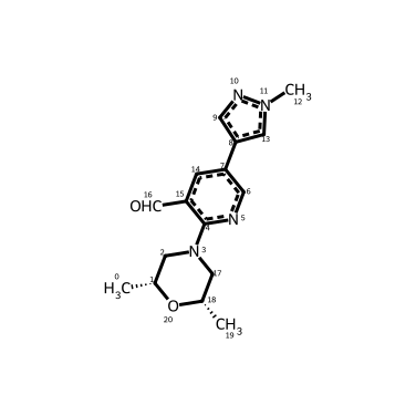 C[C@@H]1CN(c2ncc(-c3cnn(C)c3)cc2C=O)C[C@H](C)O1